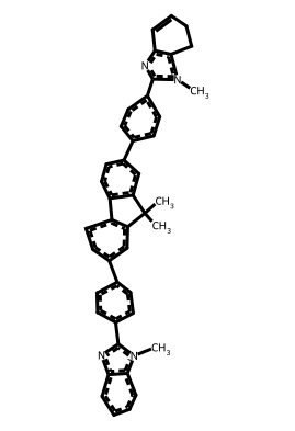 Cn1c(-c2ccc(-c3ccc4c(c3)C(C)(C)c3cc(-c5ccc(-c6nc7ccccc7n6C)cc5)ccc3-4)cc2)nc2c1CCC=C2